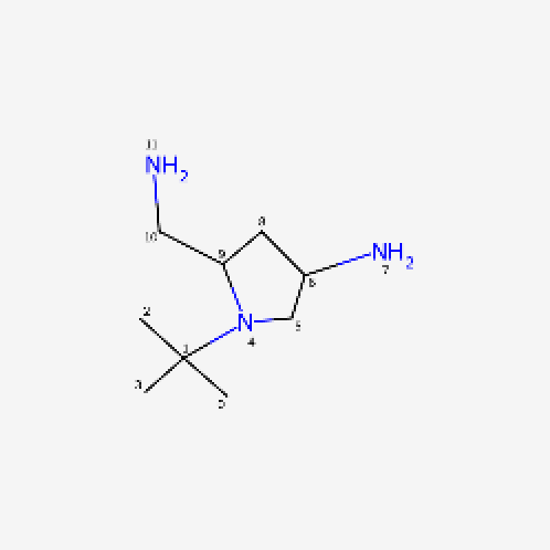 CC(C)(C)N1CC(N)CC1CN